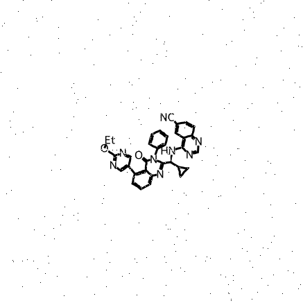 CCOc1ncc(-c2cccc3nc([C@@H](Nc4ncnc5ccc(C#N)cc45)C4CC4)n(-c4ccccc4)c(=O)c23)cn1